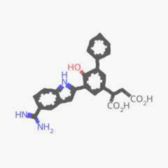 N=C(N)c1ccc2[nH]c(-c3cc(C(CC(=O)O)C(=O)O)cc(-c4ccccc4)c3O)cc2c1